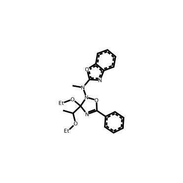 CCOC(C)C1(OCC)N=C(c2ccccc2)ON1N(C)c1nc2ccccc2o1